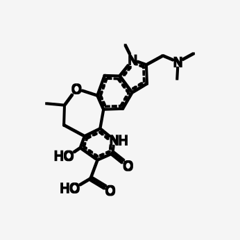 CC1Cc2c([nH]c(=O)c(C(=O)O)c2O)-c2cc3cc(CN(C)C)n(C)c3cc2O1